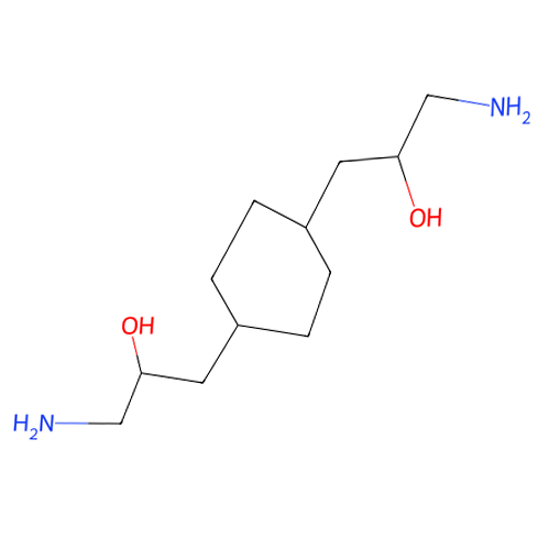 NCC(O)CC1CCC(CC(O)CN)CC1